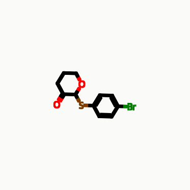 O=C1CCCOC1Sc1ccc(Br)cc1